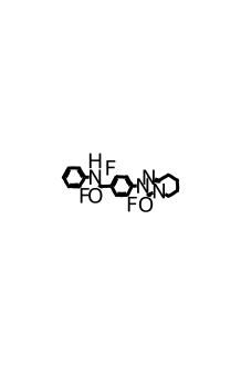 O=C(Nc1ccccc1F)c1cc(F)c(-n2nc3n(c2=O)CCCC3)cc1F